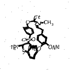 CCCc1sc2ccccc2c1S(=O)(=O)c1ccc(OC(CC)N(C)CCc2ccc(OC)c(OC)c2)cc1